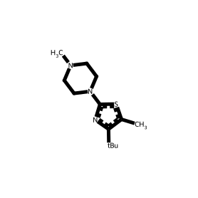 Cc1sc(N2CCN(C)CC2)nc1C(C)(C)C